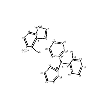 Cc1cccc2[nH]ccc12.Cc1ccccc1P(c1ccccc1)c1ccccc1.I